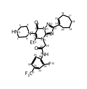 CCc1c(N2CCNCC2)c(=O)n2nc(C3=CCCCCC3)nc2n1CC(=O)Nc1ccc(C(F)(F)F)cc1F